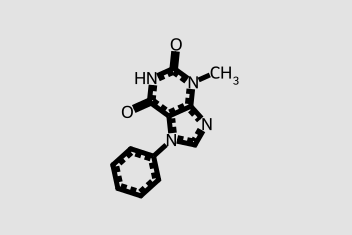 Cn1c(=O)[nH]c(=O)c2c1ncn2-c1ccccc1